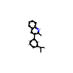 Cc1nc2ccccc2cc1-c1cccc(C(C)C)c1